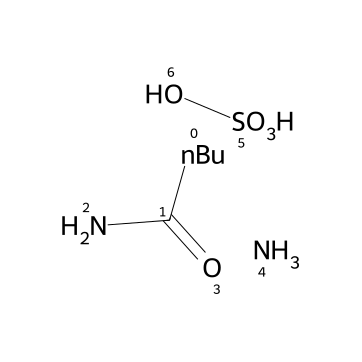 CCCCC(N)=O.N.O=S(=O)(O)O